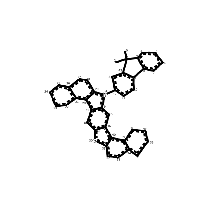 CC1(C)c2ccccc2-c2ccc(-n3c4cc5c(cc4c4c6ccccc6ccc43)sc3ccc4ccccc4c35)cc21